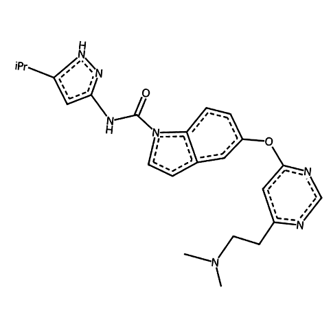 CC(C)c1cc(NC(=O)n2ccc3cc(Oc4cc(CCN(C)C)ncn4)ccc32)n[nH]1